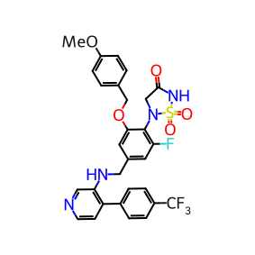 COc1ccc(COc2cc(CNc3cnccc3-c3ccc(C(F)(F)F)cc3)cc(F)c2N2CC(=O)NS2(=O)=O)cc1